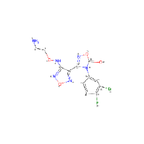 NCCONc1nonc1-c1noc(=O)n1-c1ccc(F)c(Br)c1